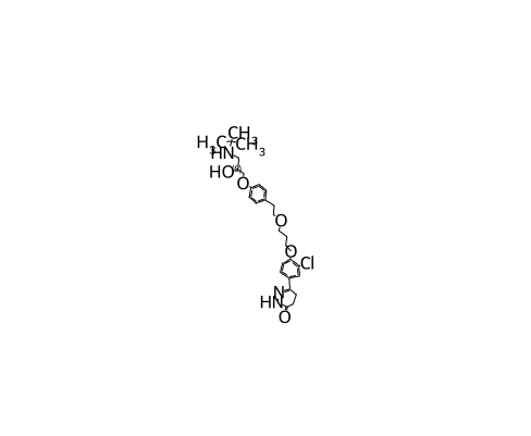 CC(C)(C)NC[C@H](O)COc1ccc(CCOCCCOc2ccc(C3=NNC(=O)CC3)cc2Cl)cc1